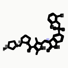 Cc1[nH]c(/C=C2\C(=O)Nc3ccc(S(=O)(=O)Cc4c(Cl)cccc4Cl)cc32)c(C)c1C(=O)N1CCC[C@@H]1CN1CC[C@@H](F)C1